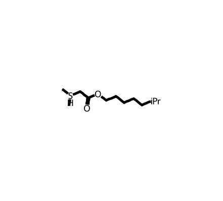 CC(C)CCCCCOC(=O)C[SH](C)C